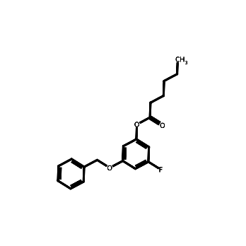 CCCCCC(=O)Oc1cc(F)cc(OCc2ccccc2)c1